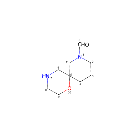 O=CN1CCCC2(CNCCO2)C1